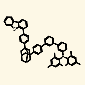 Cc1cc(C)c(B(c2cccc(-c3cccc(-c4ccc(C56CC7CC(C5)CC(c5ccc(-c8cccc9c8sc8ccccc89)cc5)(C7)C6)cc4)c3)c2)c2c(C)cc(C)cc2C)c(C)c1